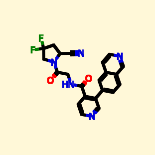 N#CC1CC(F)(F)CN1C(=O)CNC(=O)c1ccncc1-c1ccc2cnccc2c1